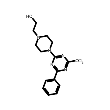 OCCN1CCN(c2nc(-c3ccccc3)nc(C(Cl)(Cl)Cl)n2)CC1